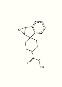 CC(C)(C)OC(=O)N1CCC2(CC1)c1ccccc1C1OC12